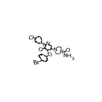 NC(=O)N1CCN(c2cnn(-c3ccc(Cl)cc3)c(=O)c2Oc2ccc(Br)cc2)CC1